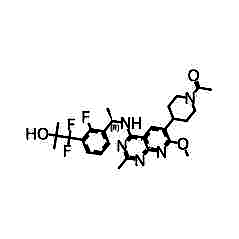 COc1nc2nc(C)nc(N[C@H](C)c3cccc(C(F)(F)C(C)(C)O)c3F)c2cc1C1CCN(C(C)=O)CC1